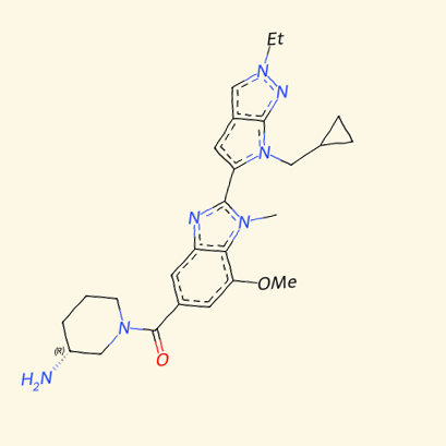 CCn1cc2cc(-c3nc4cc(C(=O)N5CCC[C@@H](N)C5)cc(OC)c4n3C)n(CC3CC3)c2n1